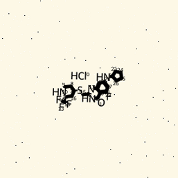 Cl.O=c1[nH]c(CS[C@@H]2CCN[C@H](C(F)(F)F)C2)nc2cc(NC3CCCC3)cc(F)c12